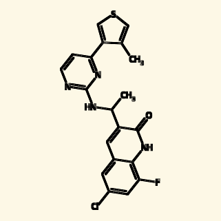 Cc1cscc1-c1ccnc(NC(C)c2cc3cc(Cl)cc(F)c3[nH]c2=O)n1